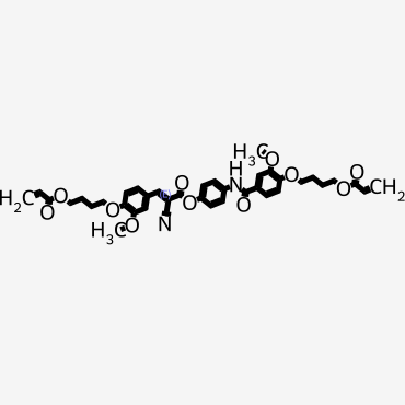 C=CC(=O)OCCCCOc1ccc(/C=C(\C#N)C(=O)Oc2ccc(NC(=O)c3ccc(OCCCCOC(=O)C=C)c(OC)c3)cc2)cc1OC